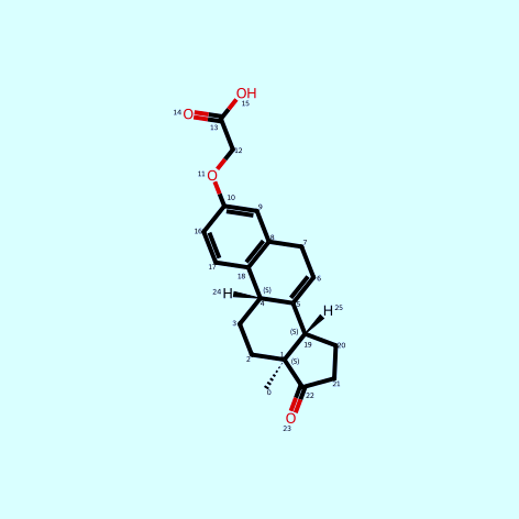 C[C@]12CC[C@H]3C(=CCc4cc(OCC(=O)O)ccc43)[C@@H]1CCC2=O